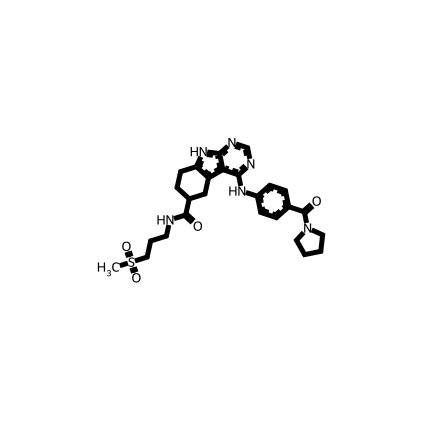 CS(=O)(=O)CCCNC(=O)C1CCc2[nH]c3ncnc(Nc4ccc(C(=O)N5CCCC5)cc4)c3c2C1